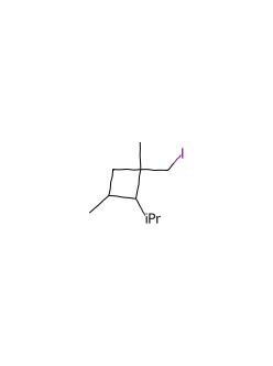 CC(C)C1C(C)CC1(C)CI